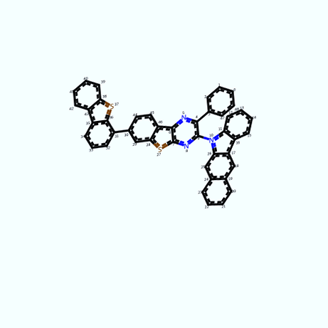 c1ccc(-c2nc3c(nc2-n2c4ccccc4c4cc5ccccc5cc42)sc2cc(-c4cccc5c4sc4ccccc45)ccc23)cc1